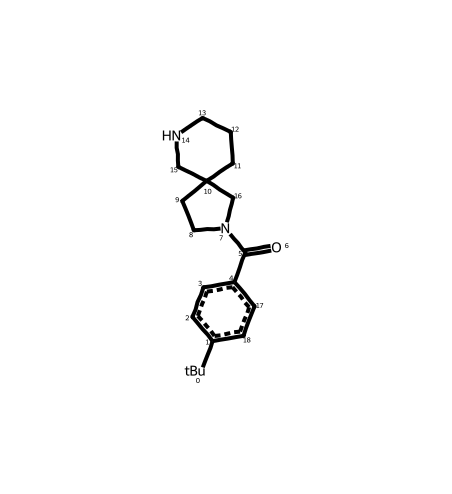 CC(C)(C)c1ccc(C(=O)N2CCC3(CCCNC3)C2)cc1